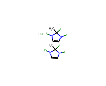 CC1(F)N(F)C=CN1F.CC1(F)N(F)C=CN1F.Cl